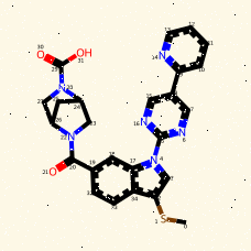 CSc1cn(-c2ncc(-c3ccccn3)cn2)c2cc(C(=O)N3CC4CC3CN4C(=O)O)ccc12